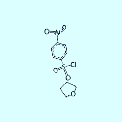 C1CCOC1.O=[N+]([O-])c1ccc(S(=O)(=O)Cl)cc1